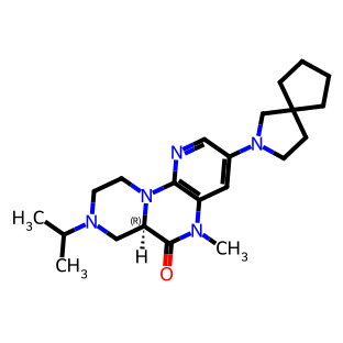 CC(C)N1CCN2c3ncc(N4CCC5(CCCC5)C4)cc3N(C)C(=O)[C@H]2C1